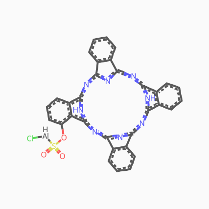 O=[S](=O)(Oc1cccc2c3nc4nc(nc5[nH]c(nc6nc(nc([nH]3)c12)-c1ccccc1-6)c1ccccc51)-c1ccccc1-4)[AlH][Cl]